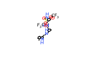 Cc1cccc2c(CCNCc3cccc(CCNC[C@H](OC(=O)C(F)(F)F)c4ccc(OC(=O)C(F)(F)F)c5[nH]c(=O)sc45)c3)c[nH]c12